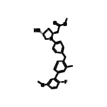 COC(=O)C[C@@H]1C[C@@H](O)CN1c1ccc(Cc2ccc(-c3cc(OC)ccc3F)cc2C)cc1